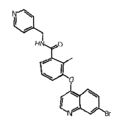 Cc1c(Oc2ccnc3cc(Br)ccc23)cccc1C(=O)NCc1ccncc1